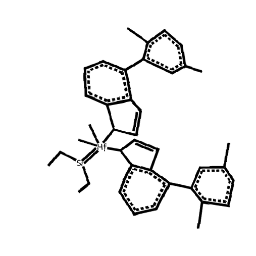 CC[Si](CC)=[Hf]([CH3])([CH3])([CH]1C=Cc2c(-c3cc(C)ccc3C)cccc21)[CH]1C=Cc2c(-c3cc(C)ccc3C)cccc21